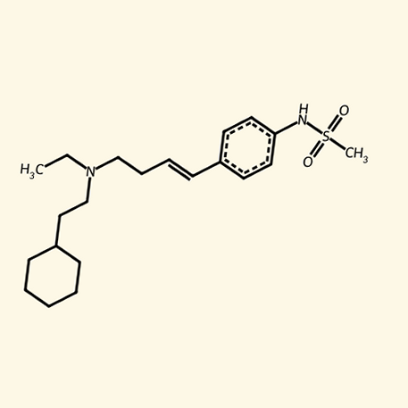 CCN(CCC=Cc1ccc(NS(C)(=O)=O)cc1)CCC1CCCCC1